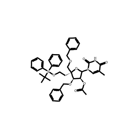 CC(=O)O[C@@H]1C(n2cc(C)c(=O)[nH]c2=O)O[C@](CCO[Si](c2ccccc2)(c2ccccc2)C(C)(C)C)(COCc2ccccc2)[C@@H]1OCc1ccccc1